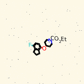 CCOC(=O)N1CCC(Oc2ccc(F)c3c2CCC3)CC1